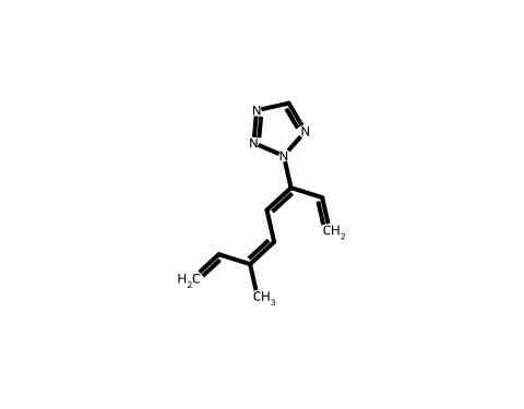 C=C/C(C)=C\C=C(/C=C)n1ncnn1